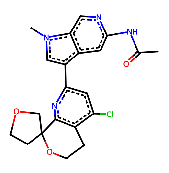 CC(=O)Nc1cc2c(-c3cc(Cl)c4c(n3)C3(CCOC3)OCC4)cn(C)c2cn1